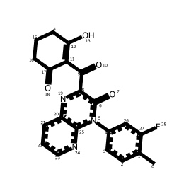 Cc1ccc(-n2c(=O)c(C(=O)C3=C(O)CCCC3=O)nc3cccnc32)cc1F